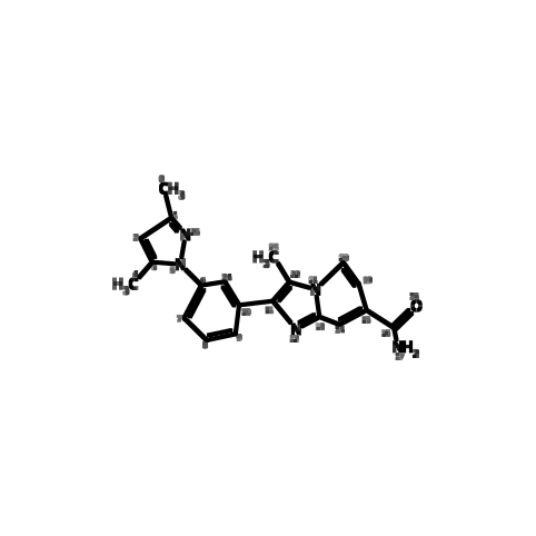 Cc1cc(C)n(-c2cccc(-c3nc4cc(C(N)=O)ccn4c3C)c2)n1